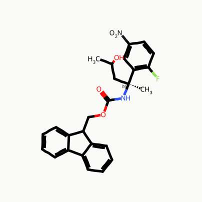 CC(O)C[C@](C)(NC(=O)OCC1c2ccccc2-c2ccccc21)c1cc([N+](=O)[O-])ccc1F